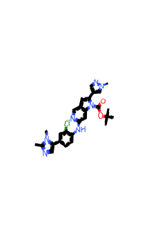 Cc1ncc(-c2ccc(Nc3cc4c(cn3)cc(-c3cnn(C)c3)n4C(=O)OC(C)(C)C)c(Cl)c2)n1C